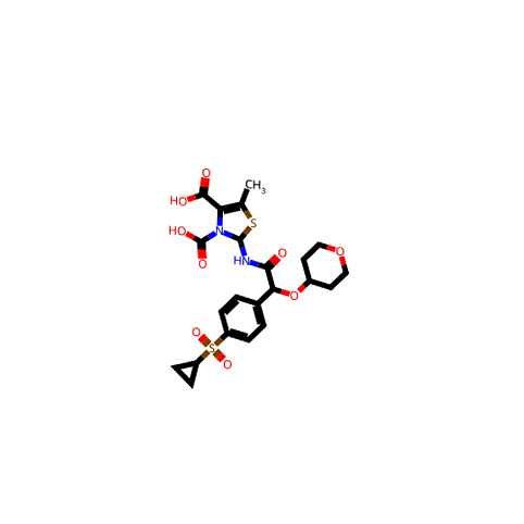 CC1=C(C(=O)O)N(C(=O)O)C(NC(=O)C(OC2CCOCC2)c2ccc(S(=O)(=O)C3CC3)cc2)S1